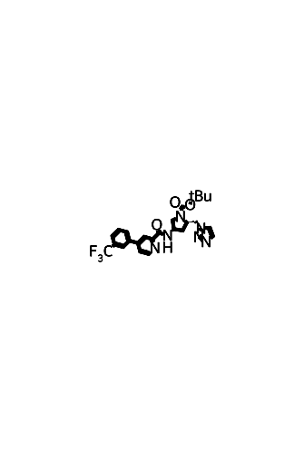 CC(C)(C)OC(=O)N1C[C@H](NC(=O)c2cc(-c3cccc(C(F)(F)F)c3)ccn2)C[C@H]1Cn1ccnn1